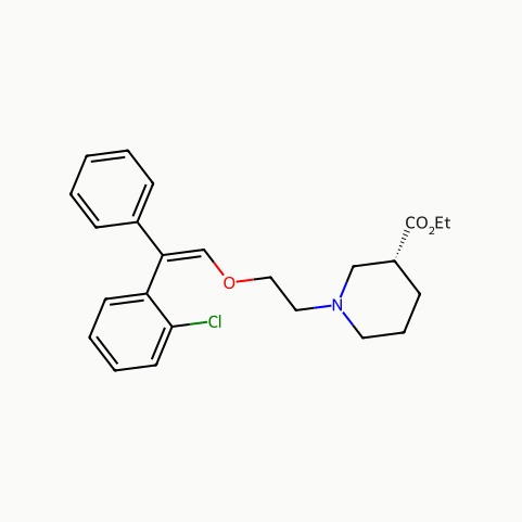 CCOC(=O)[C@@H]1CCCN(CCO/C=C(/c2ccccc2)c2ccccc2Cl)C1